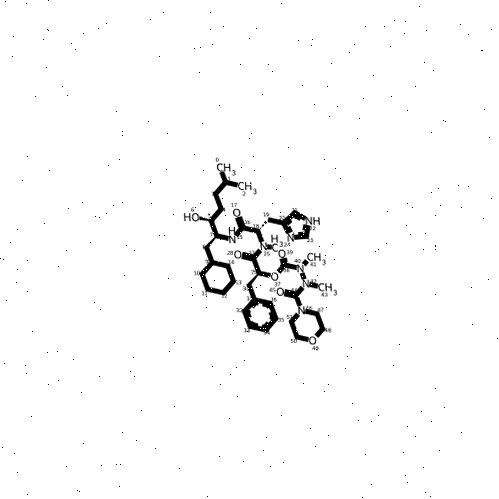 CC(C)CC[C@H](O)[C@H](CC1CCCCC1)NC(=O)[C@H](Cc1c[nH]cn1)N(C)C(=O)[C@H](Cc1ccccc1)OC(=O)N(C)N(C)C(=O)N1CCOCC1